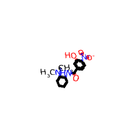 CN(C)C1CCCCC1NC(=O)c1ccc([N+](=O)[O-])c(O)c1